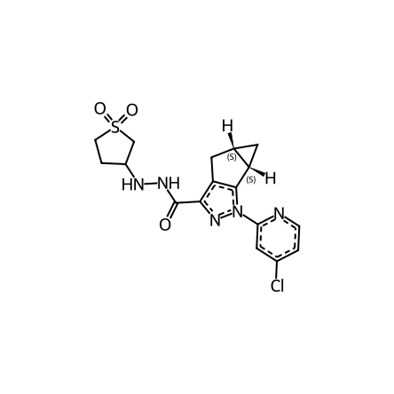 O=C(NNC1CCS(=O)(=O)C1)c1nn(-c2cc(Cl)ccn2)c2c1C[C@@H]1C[C@H]21